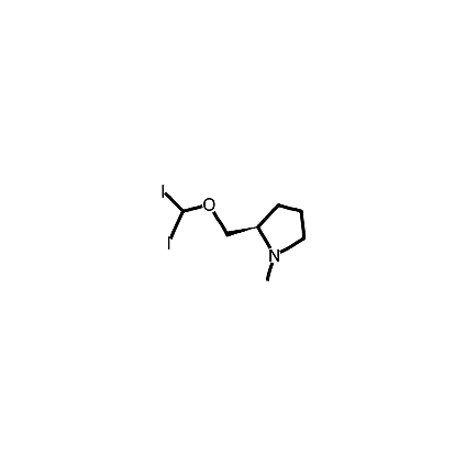 CN1CCC[C@@H]1COC(I)I